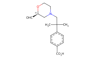 CC(C)(CN1CCO[C@H](C=O)C1)c1ccc(C(=O)O)cc1